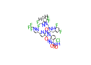 Cn1nc(NS(C)(=O)=O)c2c(Cl)ccc(-n3c([C@H](Cc4cc(F)cc(F)c4)NC(=O)Cn4nc(C(F)F)c5c4C(F)(F)[C@@H]4C[C@H]54)nc4nc(-c5ccn(CC(F)(F)F)n5)ccc4c3=O)c21